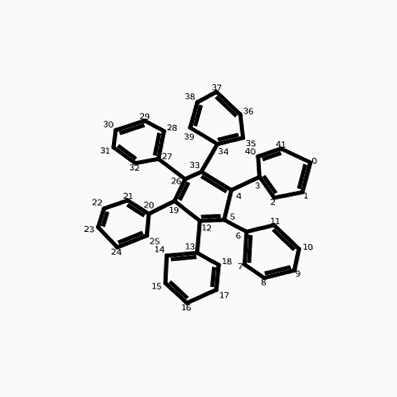 c1ccc(-c2c(-c3ccccc3)c(-c3ccccc3)c(-c3ccccc3)c(-c3ccccc3)c2-c2ccccc2)cc1